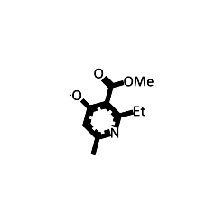 CCc1nc(C)cc([O])c1C(=O)OC